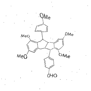 COc1ccc(C2c3c(OC)cc(OC)cc3C3C(c4ccc(C=O)cc4)c4c(OC)cc(OC)cc4C23)cc1